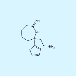 N=C1CCCCC(CCN)(c2cccs2)N1